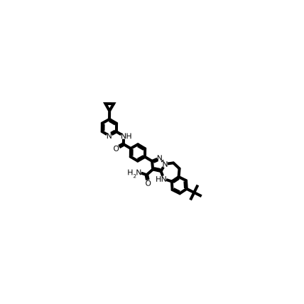 CC(C)(C)c1ccc2c(c1)CCn1nc(-c3ccc(C(=O)Nc4cc(C5CC5)ccn4)cc3)c(C(N)=O)c1N2